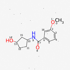 COc1cccc(C(=O)NC2CCC(O)C2)c1